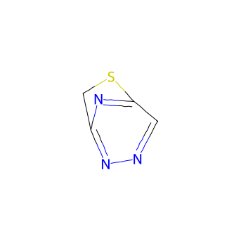 c1nnc2nc1SC2